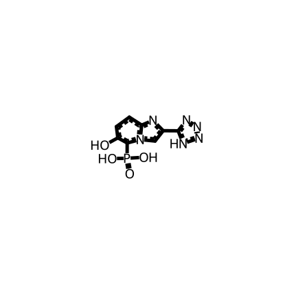 O=P(O)(O)c1c(O)ccc2nc(-c3nnn[nH]3)cn12